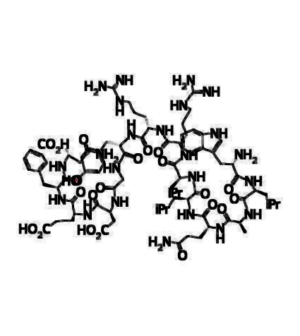 CC(C)C[C@H](NC(=O)[C@H](CCC(N)=O)NC(=O)[C@H](C)NC(=O)[C@H](CC(C)C)NC(=O)[C@@H](N)Cc1c[nH]c2ccccc12)C(=O)N[C@@H](CC(C)C)C(=O)N[C@@H](CCCNC(=N)N)C(=O)N[C@@H](CCCNC(=N)N)C(=O)N[C@@H](Cc1ccc(O)cc1)C(=O)NCC(=O)N[C@@H](CC(=O)O)C(=O)N[C@@H](CCC(=O)O)C(=O)N[C@@H](Cc1ccccc1)C(=O)N[C@@H](CC(N)=O)C(=O)O